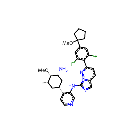 CO[C@@H]1[C@H](N)C[C@H](c2ccncc2Nc2ncc3ccc(-c4c(F)cc(C5(OC)CCCC5)cc4F)nn23)C[C@@H]1C